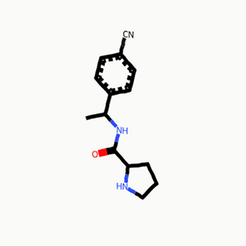 CC(NC(=O)C1CCCN1)c1ccc(C#N)cc1